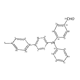 Cc1ccc(-c2ccc(N(c3ccccc3)c3ccc(C=O)cc3)cc2)cc1